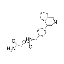 NC(=O)COC(=O)NCc1ccc(-c2cncc3ccccc23)cc1